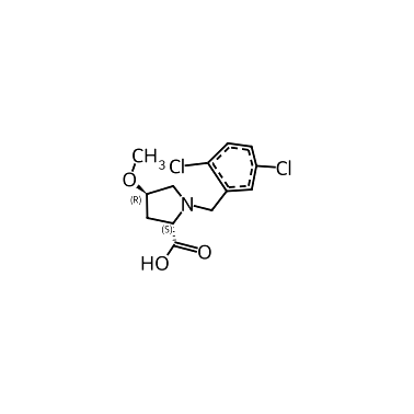 CO[C@@H]1C[C@@H](C(=O)O)N(Cc2cc(Cl)ccc2Cl)C1